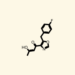 CC(O)=CC(=O)c1ncoc1Cc1ccc(F)cc1